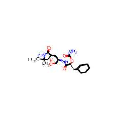 CC1(C)CC(CC(CO)NC(=O)[C@H](CC2CCCCC2)OC(N)=O)C(=O)N1